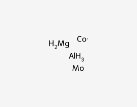 [AlH3].[Co].[MgH2].[Mo]